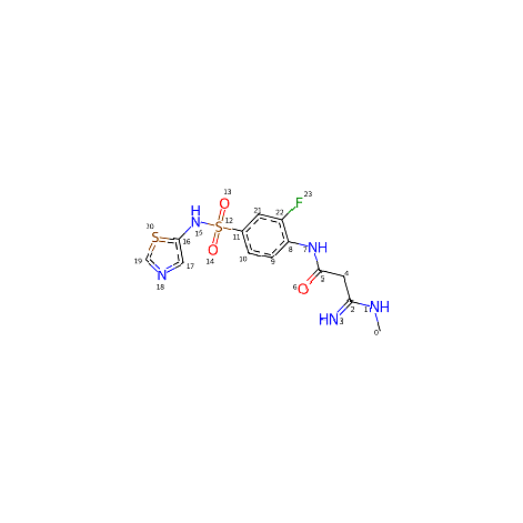 CNC(=N)CC(=O)Nc1ccc(S(=O)(=O)Nc2cncs2)cc1F